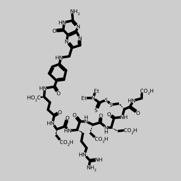 CCN(CC)C(=S)SSC[C@@H](NC(=O)[C@H](CC(=O)O)NC(=O)[C@H](CC(=O)O)NC(=O)[C@H](CCCNC(=N)N)NC(=O)[C@H](CC(=O)O)NC(=O)CC[C@H](NC(=O)c1ccc(NCc2cnc3nc(N)[nH]c(=O)c3n2)cc1)C(=O)O)C(=O)NCC(=O)O